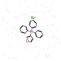 [Br-].c1ccc([P+](c2ccccc2)(c2ccccc2)c2ccoc2)cc1